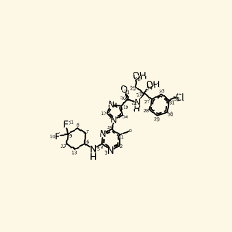 Cc1cnc(NC2CCC(F)(F)CC2)nc1-n1cnc(C(=O)NC(O)(CO)c2cccc(Cl)c2)c1